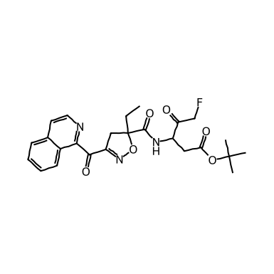 CCC1(C(=O)NC(CC(=O)OC(C)(C)C)C(=O)CF)CC(C(=O)c2nccc3ccccc23)=NO1